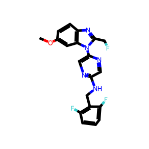 COc1ccc2nc(CF)n(-c3cnc(NCc4c(F)cccc4F)cn3)c2c1